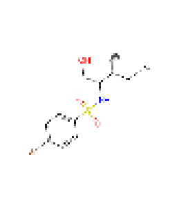 CCC[C@H](CC(C)C)[C@@H](CO)NS(=O)(=O)c1ccc(Br)cc1